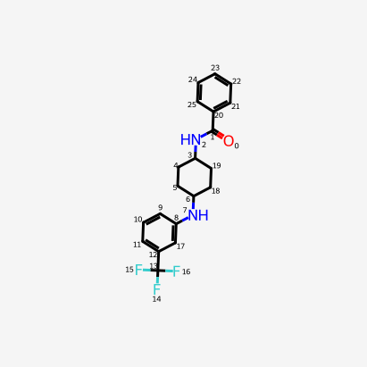 O=C(NC1CCC(Nc2cccc(C(F)(F)F)c2)CC1)c1ccccc1